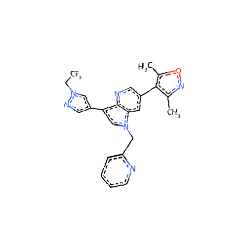 Cc1noc(C)c1-c1cnc2c(-c3cnn(CC(F)(F)F)c3)cn(Cc3ccccn3)c2c1